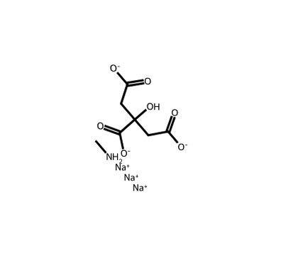 CN.O=C([O-])CC(O)(CC(=O)[O-])C(=O)[O-].[Na+].[Na+].[Na+]